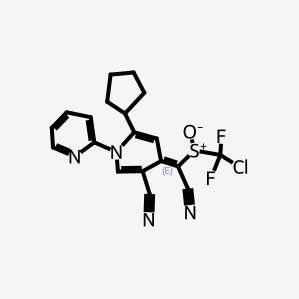 N#CC1=CN(c2ccccn2)C(C2CCCC2)=C/C1=C(/C#N)[S+]([O-])C(F)(F)Cl